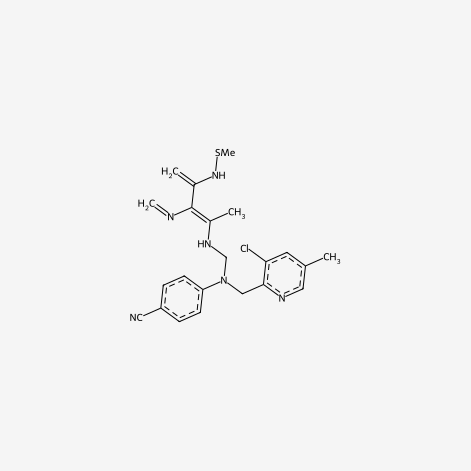 C=N/C(C(=C)NSC)=C(/C)NCN(Cc1ncc(C)cc1Cl)c1ccc(C#N)cc1